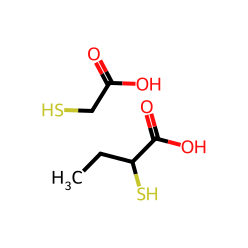 CCC(S)C(=O)O.O=C(O)CS